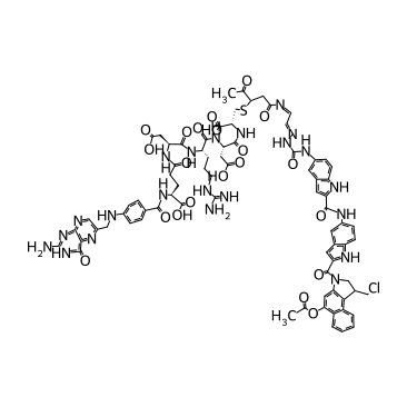 CC(=O)Oc1cc2c(c3ccccc13)C(CCl)CN2C(=O)c1cc2cc(NC(=O)c3cc4cc(NC(=O)N/N=C/C=N\C(=O)CC(SC[C@H](NC(=O)[C@H](CC(=O)O)NC(=O)[C@H](CCCNC(=N)N)NC(=O)[C@H](CC(=O)O)NC(=O)CC[C@H](NC(=O)c5ccc(NCc6cnc7nc(N)[nH]c(=O)c7n6)cc5)C(=O)O)C(=O)O)C(C)=O)ccc4[nH]3)ccc2[nH]1